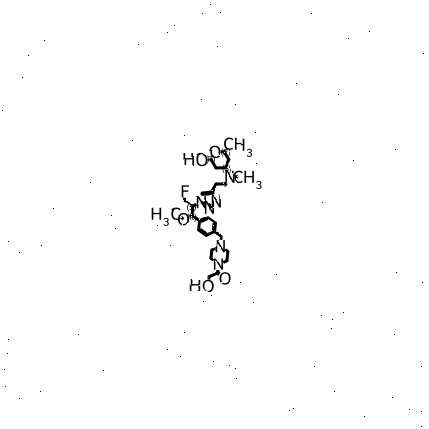 CO[C@H](c1ccc(CN2CCN(C(=O)CO)CC2)cc1)[C@@H](CF)n1cc(CCN(C)[C@H]2C[C@@H](C)O[C@@H](O)C2)nn1